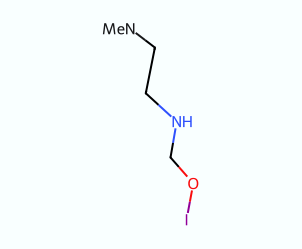 CNCCNCOI